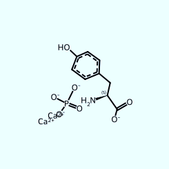 N[C@@H](Cc1ccc(O)cc1)C(=O)[O-].O=P([O-])([O-])[O-].[Ca+2].[Ca+2]